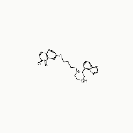 O=c1ccc2ccc(OCCCCN3CCNCC3c3cccc4sccc34)cc2[nH]1